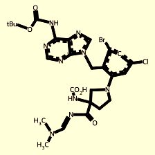 CN(C)C=NC(=O)C1(NC(=O)O)CCN(c2cc(Cl)cc(Br)c2Cn2cnc3c(NC(=O)OC(C)(C)C)ncnc32)C1